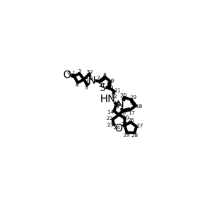 O=C1CC2(C1)CN(c1ccc(CNCCC3(c4ccccn4)CCOC4(CCCC4)C3)s1)C2